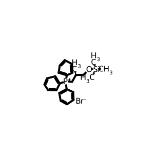 C[C@@H](CO[Si](C)(C)C)C[P+](c1ccccc1)(c1ccccc1)c1ccccc1.[Br-]